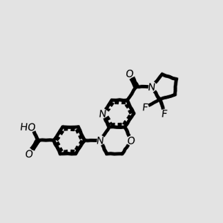 O=C(O)c1ccc(N2CCOc3cc(C(=O)N4CCCC4(F)F)cnc32)cc1